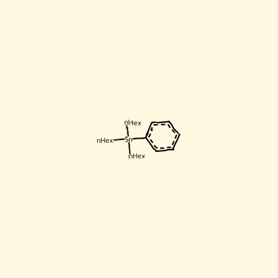 CCCCC[CH2][Sn]([CH2]CCCCC)([CH2]CCCCC)[c]1ccccc1